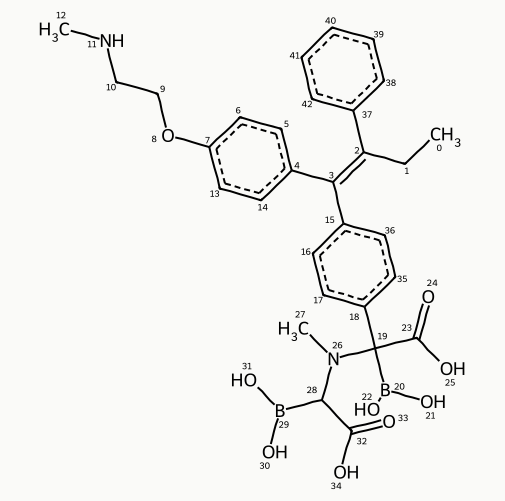 CCC(=C(c1ccc(OCCNC)cc1)c1ccc(C(B(O)O)(C(=O)O)N(C)C(B(O)O)C(=O)O)cc1)c1ccccc1